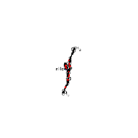 C=CC(=O)OCCCCCCCCOc1ccc(OC(=O)[C@H]2CC[C@H](C(=O)Oc3ccc(OC(=O)[C@H]4CC[C@H](C(=O)Oc5ccc(OCCCCCCCCOC(=O)C=C)cc5)CC4)c(/C=N/N(CCCCCC)c4nc5ccccc5s4)c3)CC2)cc1